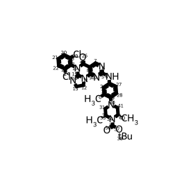 Cc1cc(Nc2ncc3c(n2)N2CCN=C2N(c2c(Cl)cccc2Cl)C3=O)ccc1N1C[C@@H](C)N(C(=O)OC(C)(C)C)[C@@H](C)C1